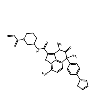 C=CC(=O)N1CCCC(NC(=O)c2sc3c(N)ccc4c3c2C(N)C(=O)C4(N)c2ccc(-c3cccs3)cc2)C1